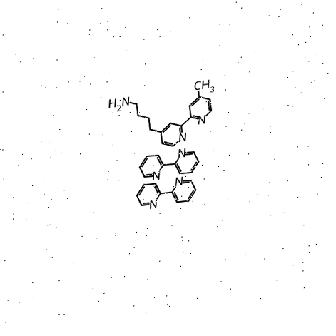 Cc1ccnc(-c2cc(CCCCN)ccn2)c1.c1ccc(-c2ccccn2)nc1.c1ccc(-c2ccccn2)nc1